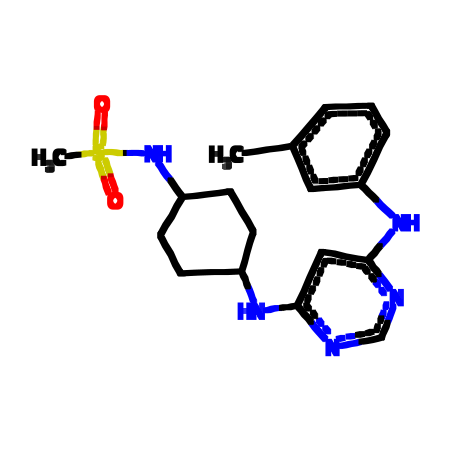 Cc1cccc(Nc2cc(NC3CCC(NS(C)(=O)=O)CC3)ncn2)c1